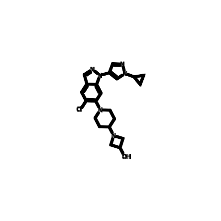 OC1CN(C2CCN(c3cc4c(cnn4-c4cnn(C5CC5)c4)cc3Cl)CC2)C1